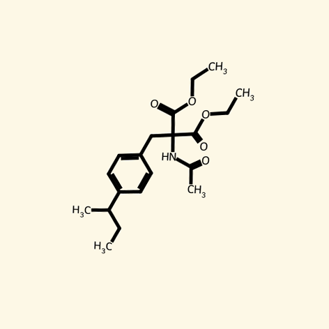 CCOC(=O)C(Cc1ccc(C(C)CC)cc1)(NC(C)=O)C(=O)OCC